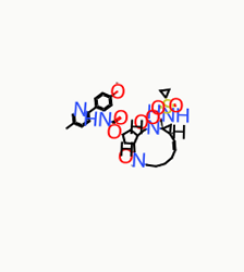 COc1ccc(-c2ccc(C)cn2)c(NC(=O)O[C@@H]2C[C@H]3C(=O)N[C@]4(C(=O)NS(=O)(=O)C5CC5)C[C@H]4/C=C\CCCCN(C)C(=O)[C@@H]3C2)c1